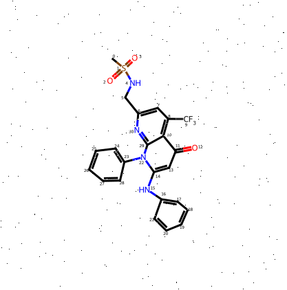 CS(=O)(=O)NCc1cc(C(F)(F)F)c2c(=O)cc(Nc3ccccc3)n(-c3ccccc3)c2n1